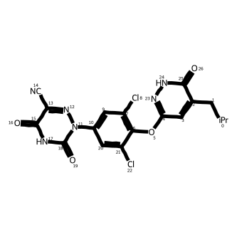 CC(C)Cc1cc(Oc2c(Cl)cc(-n3nc(C#N)c(=O)[nH]c3=O)cc2Cl)n[nH]c1=O